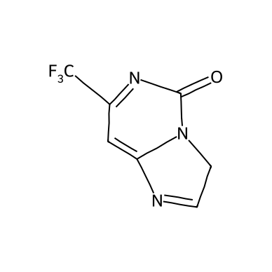 O=c1nc(C(F)(F)F)cc2n1CC=N2